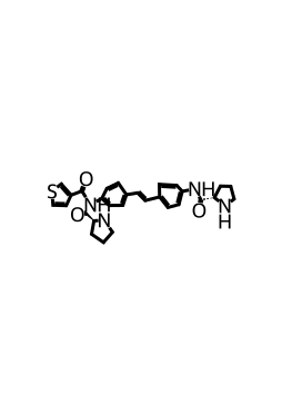 O=C(Nc1ccc(/C=C/c2ccc(N(C(=O)c3ccsc3)C(=O)[C@@H]3CCCN3)cc2)cc1)[C@@H]1CCCN1